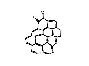 O=c1c(=O)c2cc3ccc4ccc5ccc6cc7ccc8ccc1c1c8c7c7c6c5c4c3c7c21